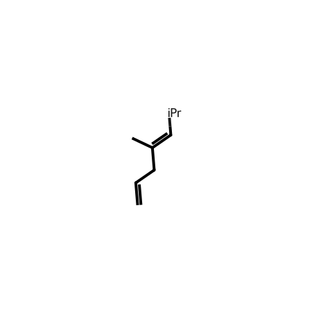 C=CC/C(C)=C/C(C)C